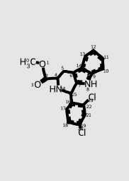 COC(=O)C1Cc2c([nH]c3ccccc23)C(c2ccc(Cl)cc2Cl)N1